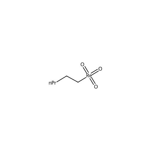 CCCC[CH2][Re](=[O])(=[O])=[O]